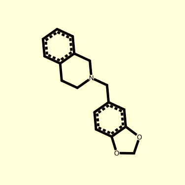 c1ccc2c(c1)CCN(Cc1ccc3c(c1)OCO3)C2